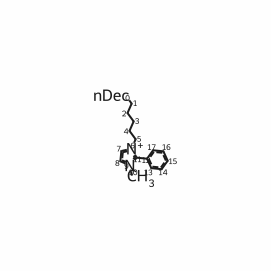 CCCCCCCCCCCCCCC[n+]1ccn(C)c1-c1ccccc1